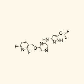 Fc1ccc(COc2cncc(Nc3cc(OC(F)F)[nH]n3)n2)c(F)n1